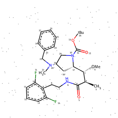 CO[C@H]([C@@H](C)C(=O)NCCc1c(F)cccc1F)[C@@H]1C[C@H](N(C)Cc2ccccc2)CN1C(=O)OC(C)(C)C